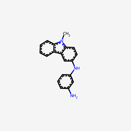 Cn1c2ccccc2c2cc(Nc3cccc(N)c3)ccc21